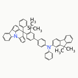 CC1(C)c2ccccc2-c2ccc(N(c3ccccc3)c3ccc(-c4ccc5c(c4)[Si](C)(C)c4ccccc4C54c5ccccc5-n5c6ccccc6c6cccc4c65)cc3)cc21